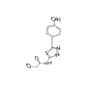 O=C(CCl)Nc1nnc(-c2ccc(O)cc2)s1